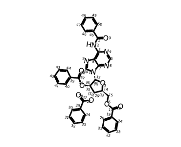 O=C(Nc1ncnc2c1ncn2[C@@H]1O[C@@H](COC(=O)c2ccccc2)[C@H](OC(=O)c2ccccc2)[C@H]1OC(=O)c1ccccc1)c1ccccc1